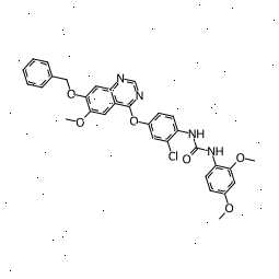 COc1ccc(NC(=O)Nc2ccc(Oc3ncnc4cc(OCc5ccccc5)c(OC)cc34)cc2Cl)c(OC)c1